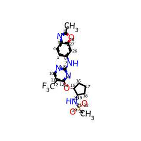 Cc1nc2ccc(Nc3ncc(C(F)(F)F)c(O[C@@H]4CCC[C@H]4NS(C)(=O)=O)n3)cc2o1